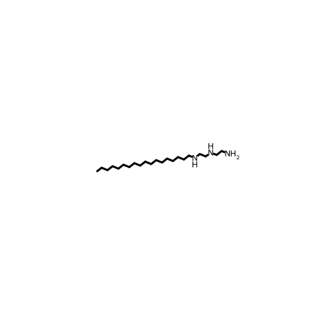 CCCCCCCCCCCCCCCCCCNCCNCCN